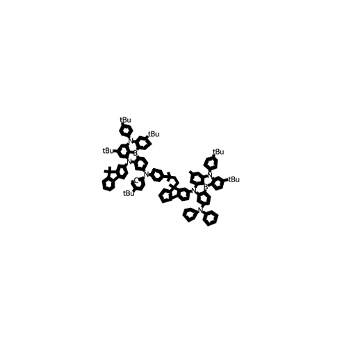 Cc1cc2c3c(c1)N(c1ccc(C(C)(C)C)cc1)c1cc(C(C)(C)C)ccc1B3c1ccc(N(c3ccccc3)c3ccccc3)cc1N2c1ccc2c(c1)C(C)(CCC(C)(C)c1ccc(N(c3ccc(C(C)(C)C)cc3)c3ccc4c(c3)N(c3ccc5c(c3)C(C)(C)c3ccccc3-5)c3cc(C(C)(C)C)cc5c3B4c3ccc(C(C)(C)C)cc3N5c3ccc(C(C)(C)C)cc3)cc1)c1ccccc1-2